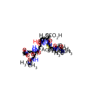 CC[C@H](C)[C@H](NC(=O)C(C)(C)N(C)C)C(=O)N(C)C(C[C@@H](OC(C)=O)c1nc(C(=O)N[C@@H](Cc2ccc(O)c(NC(=O)CCCNC(=O)[C@H](CCCCNC(=O)CN(C)C)NC(=O)CCCN3C(=O)C=CC3=O)c2)CC(C)C(=O)O)cs1)C(C)C